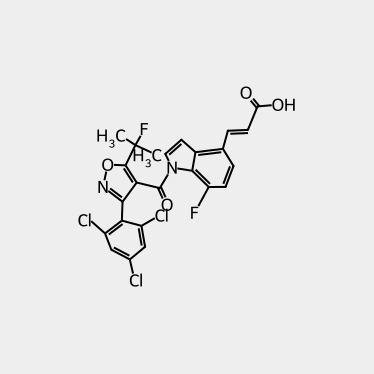 CC(C)(F)c1onc(-c2c(Cl)cc(Cl)cc2Cl)c1C(=O)n1ccc2c(/C=C/C(=O)O)ccc(F)c21